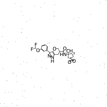 CC1(NC(=O)C2COc3c(-c4cccc(OC(F)F)c4)n[nH]c3C2)CCS(=O)(=O)C1